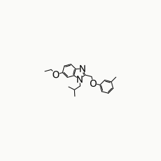 CCOc1ccc2nc(COc3cccc(C)c3)n(CC(C)C)c2c1